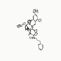 C[C@@H](NC(=O)[C@H](Cc1c(Cl)cc(O)cc1Cl)NC(=O)OC(C)(C)C)C(=O)NCCCc1ccccc1